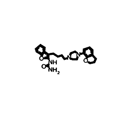 NC(=O)Nc1oc2ccccc2c1CCCCN1CCN(c2cccc3c2OCCC3)CC1